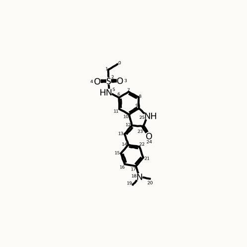 CCS(=O)(=O)Nc1ccc2c(c1)C(=Cc1ccc(N(C)C)cc1)C(=O)N2